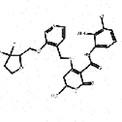 COc1c(Cl)cccc1NC(=S)C1=C(NCc2ccncc2OCC2OCCC2(F)F)CC(C)NC1=O